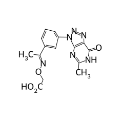 CC(=NOCC(=O)O)c1cccc(-n2nnc3c(=O)[nH]c(C)nc32)c1